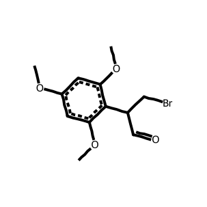 COc1cc(OC)c(C(C=O)CBr)c(OC)c1